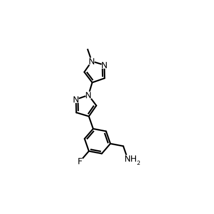 Cn1cc(-n2cc(-c3cc(F)cc(CN)c3)cn2)cn1